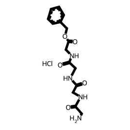 Cl.NCC(=O)NCC(=O)NCC(=O)NCC(=O)OCc1ccccc1